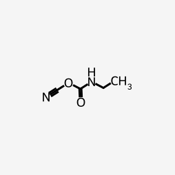 CCNC(=O)OC#N